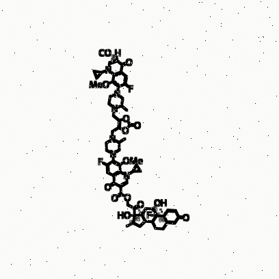 COc1c(N2CCN(Cc3oc(=O)oc3CN3CCN(c4c(F)cc5c(=O)c(C(=O)OCC(=O)[C@@]6(O)[C@H](C)CC7C8CCC9=CC(=O)C=C[C@]9(C)[C@@]8(F)[C@@H](O)C[C@@]76C)cn(C6CC6)c5c4OC)CC3C)C(C)C2)c(F)cc2c(=O)c(C(=O)O)cn(C3CC3)c12